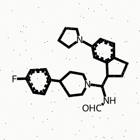 O=CNC(C1CCc2ccc(N3CCCC3)cc21)N1CCC(c2ccc(F)cc2)CC1